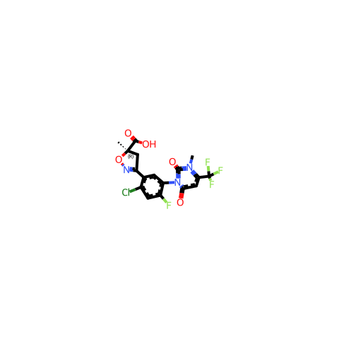 Cn1c(C(F)(F)F)cc(=O)n(-c2cc(C3=NO[C@@](C)(C(=O)O)C3)c(Cl)cc2F)c1=O